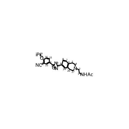 CC(=O)NCCN1CCc2ccc(-c3noc(-c4ccc(OC(C)C)c(C#N)c4)n3)cc2CC1